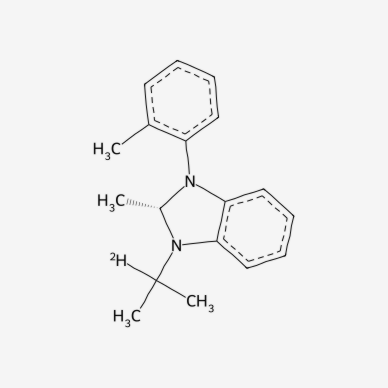 [2H]C(C)(C)N1c2ccccc2N(c2ccccc2C)[C@H]1C